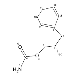 C[C@H](COC(N)=O)CC1=CCCC=C1